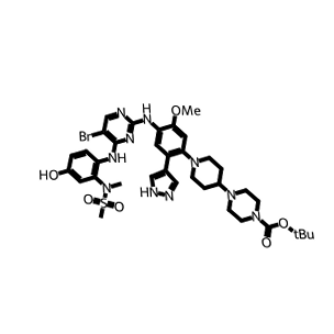 COc1cc(N2CCC(N3CCN(C(=O)OC(C)(C)C)CC3)CC2)c(-c2cn[nH]c2)cc1Nc1ncc(Br)c(Nc2ccc(O)cc2N(C)S(C)(=O)=O)n1